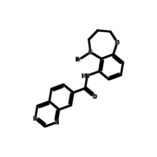 O=C(Nc1cccc2c1N(Br)CCCO2)c1ccc2cncnc2c1